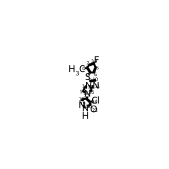 Cc1cc(F)ccc1Sc1cnc2n1CCN(c1cn[nH]c(=O)c1Cl)C2